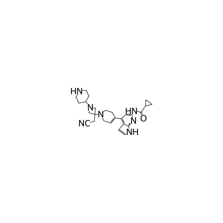 N#CCC1(N2CC=C(c3cc(NC(=O)C4CC4)nc4[nH]ccc34)CC2)CN(C2CCNCC2)C1